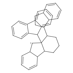 [C]1C2C=CC=CC2C2CCCC(C3CCC4C=CC=CC43)C12C1c2ccccc2-c2ccccc21